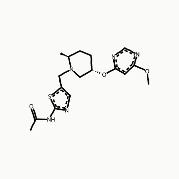 COc1cc(O[C@H]2CC[C@H](C)N(Cc3cnc(NC(C)=O)s3)C2)ncn1